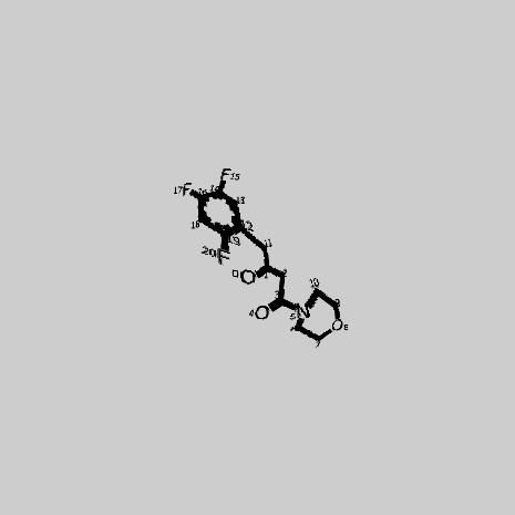 O=C(CC(=O)N1CCOCC1)Cc1cc(F)c(F)cc1F